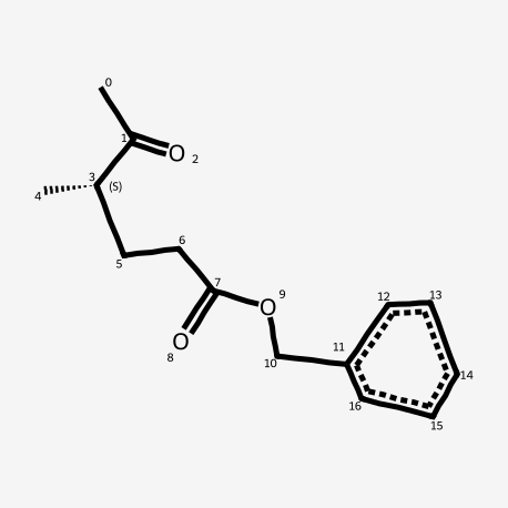 CC(=O)[C@@H](C)CCC(=O)OCc1ccccc1